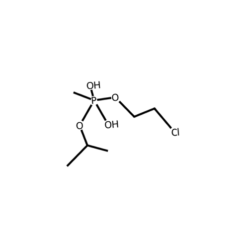 CC(C)OP(C)(O)(O)OCCCl